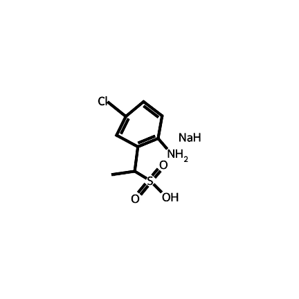 CC(c1cc(Cl)ccc1N)S(=O)(=O)O.[NaH]